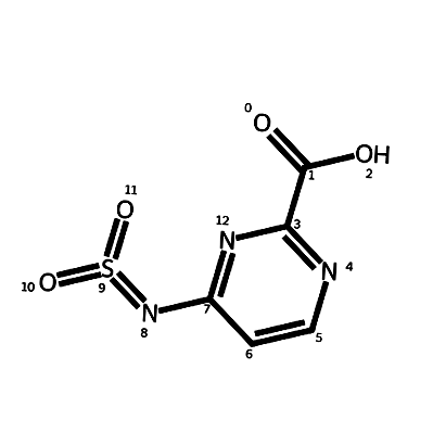 O=C(O)c1nccc(N=S(=O)=O)n1